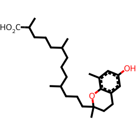 Cc1cc(O)cc2c1OC(C)(CCCC(C)CCCC(C)CCCC(C)C(=O)O)CC2